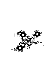 C=CCN1CC(=O)N2C(Cc3ccc(O)cc3)C(=O)N(Cc3cccc4cc[nH]c34)CC2N1C(=O)NCc1ccccc1